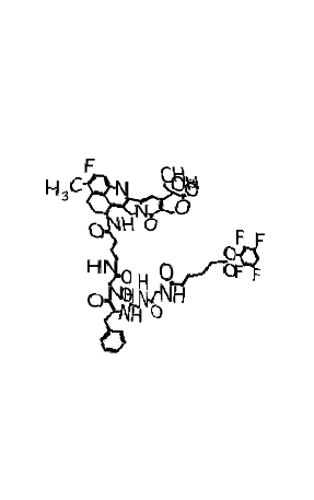 CCC1(O)C(=O)OCc2c1cc1n(c2=O)Cc2c-1nc1cc(F)c(C)c3c1c2[C@@H](NC(=O)CCCNC(=O)CNC(=O)[C@H](Cc1ccccc1)NC(=O)CNC(=O)CNC(=O)CCCCC(=O)Oc1c(F)c(F)cc(F)c1F)CC3